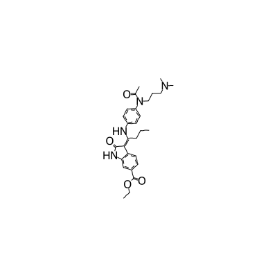 CCC/C(Nc1ccc(N(CCCN(C)C)C(C)=O)cc1)=C1/C(=O)Nc2cc(C(=O)OCC)ccc21